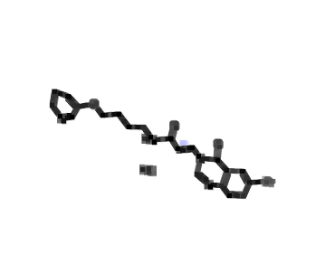 CC(C)c1ccc2ncn(/C=C/C(=O)NCCCCOc3cccnc3)c(=O)c2c1.Cl